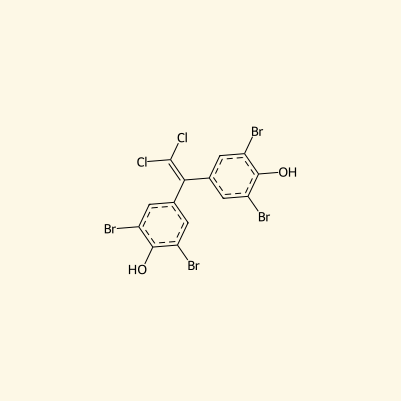 Oc1c(Br)cc(C(=C(Cl)Cl)c2cc(Br)c(O)c(Br)c2)cc1Br